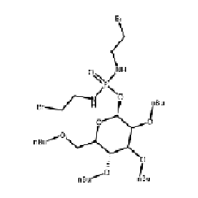 CCCCOCC1O[C@@H](OP(=O)(NCCBr)NCCBr)C(OCCCC)C(OCCCC)[C@@H]1OCCCC